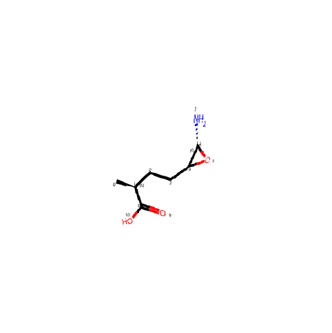 C[C@@H](CCC1O[C@H]1N)C(=O)O